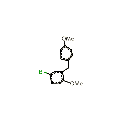 COc1ccc(Cc2cc(Br)ccc2OC)cc1